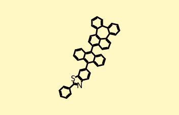 c1ccc(-c2nc3ccc(-c4c5ccccc5c(-c5ccc6c7c(cccc57)-c5ccccc5-c5ccccc5-6)c5ccccc45)cc3s2)cc1